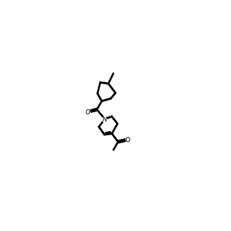 CC(=O)C1=CCN(C(=O)C2CCC(C)CC2)CC1